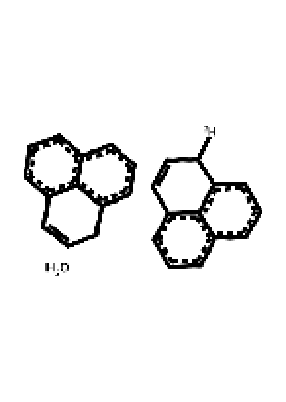 C1=Cc2cccc3cccc(c23)C1.O.[2H]C1C=Cc2cccc3cccc1c23